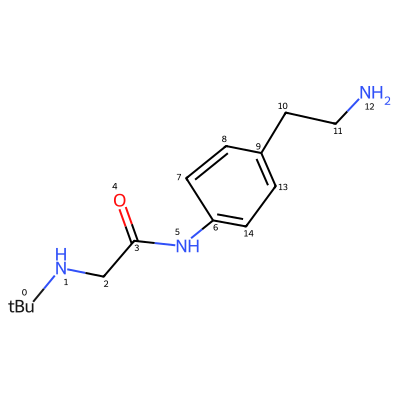 CC(C)(C)NCC(=O)Nc1ccc(CCN)cc1